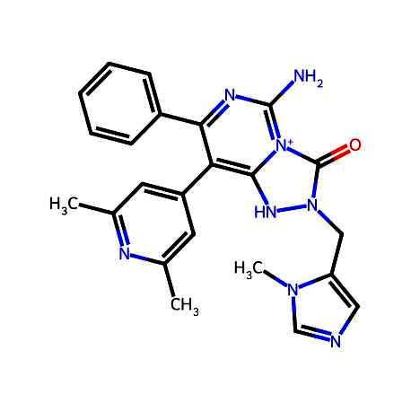 Cc1cc(-c2c(-c3ccccc3)nc(N)[n+]3c(=O)n(Cc4cncn4C)[nH]c23)cc(C)n1